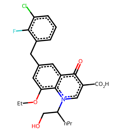 CCCC(CO)n1cc(C(=O)O)c(=O)c2cc(Cc3cccc(Cl)c3F)cc(OCC)c21